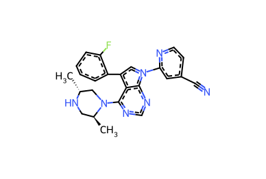 C[C@@H]1CN(c2ncnc3c2c(-c2ccccc2F)cn3-c2cc(C#N)ccn2)[C@@H](C)CN1